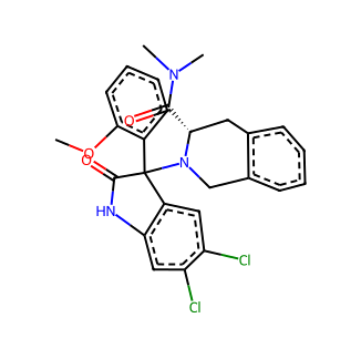 COc1ccccc1C1(N2Cc3ccccc3C[C@H]2C(=O)N(C)C)C(=O)Nc2cc(Cl)c(Cl)cc21